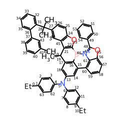 CCc1ccc(N(c2ccc(CC)cc2)c2cc3c4c(c2)C(C)c2c(oc5ccc(C(C)(C)c6ccccc6-c6cccc(C)c6)cc25)B4[n+]2c(-c4ccccc4)oc4cccc-3c42)cc1